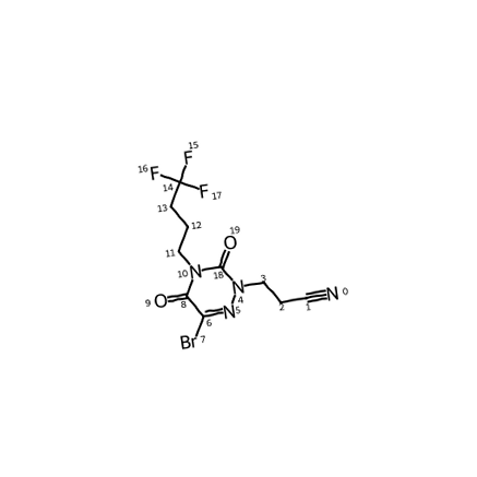 N#CCCn1nc(Br)c(=O)n(CCCC(F)(F)F)c1=O